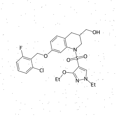 CCOc1nn(CC)cc1S(=O)(=O)N1CC(CO)Cc2ccc(OCc3c(F)cccc3Cl)cc21